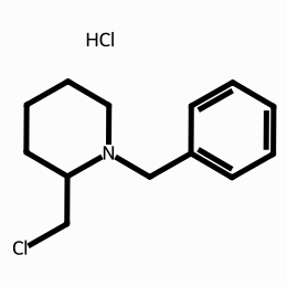 Cl.ClCC1CCCCN1Cc1ccccc1